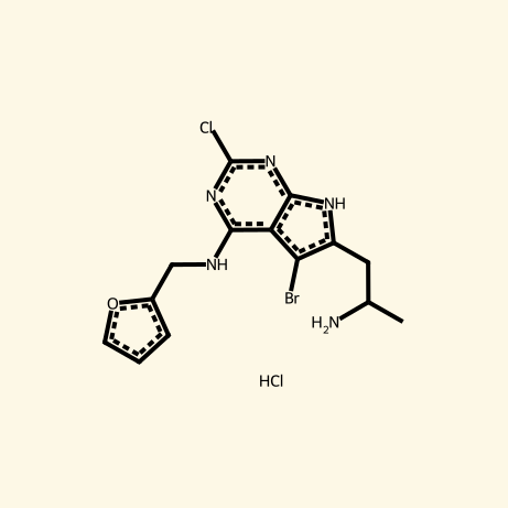 CC(N)Cc1[nH]c2nc(Cl)nc(NCc3ccco3)c2c1Br.Cl